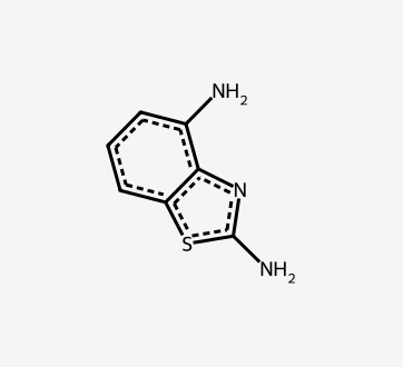 Nc1nc2c(N)cccc2s1